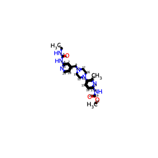 CCNC(=O)Nc1cc(CN2CCN(c3ccc(NC(=O)OC)nc3C)CC2)ccn1